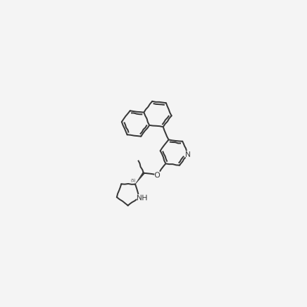 CC(Oc1cncc(-c2cccc3ccccc23)c1)[C@@H]1CCCN1